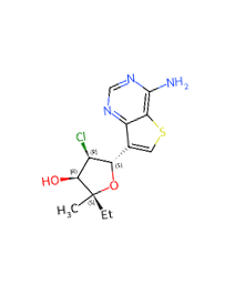 CC[C@]1(C)O[C@@H](c2csc3c(N)ncnc23)[C@H](Cl)[C@@H]1O